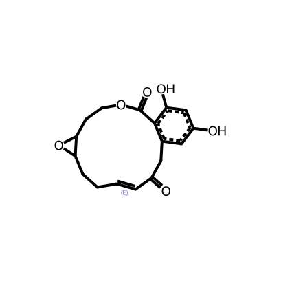 O=C1/C=C/CCC2OC2CCOC(=O)c2c(O)cc(O)cc2C1